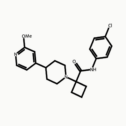 COc1cc(C2CCN(C3(C(=O)Nc4ccc(Cl)cc4)CCC3)CC2)ccn1